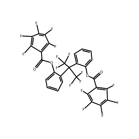 O=C(Oc1ccccc1C(c1ccccc1OC(=O)c1c(F)c(F)c(F)c(F)c1F)(C(F)(F)F)C(F)(F)F)c1c(F)c(F)c(F)c(F)c1F